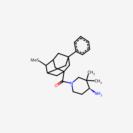 CSC1C2CC3(C(=O)N4CC[C@H](N)C(C)(C)C4)CC1CC(c1ccccc1)(C2)C3